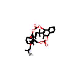 CC(C)=CC(C)(C)c1c(C)c2c3ccccc3c1OC(=O)Oc1c(C)c(C(C)(C)C/C=C(\C)C(C)C)c(c3ccccc13)OC(=O)O2